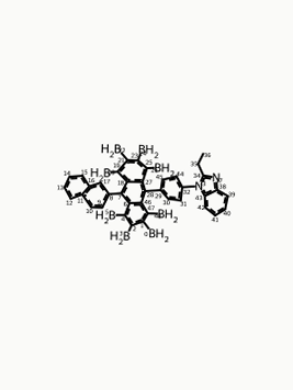 Bc1c(B)c(B)c2c(-c3ccc4ccccc4c3)c3c(B)c(B)c(B)c(B)c3c(-c3ccc(-n4c(CC)nc5ccccc54)cc3)c2c1B